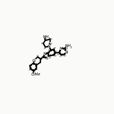 COc1ccc2c(c1)CC(c1nc3c(N4CCC(N)CC4)cc(-c4ccnc(N)n4)cc3s1)CO2